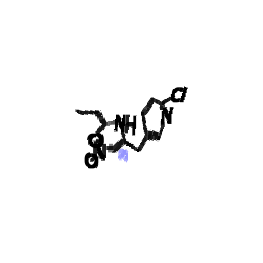 CCC(C)N/C(=C\[N+](=O)[O-])Cc1ccc(Cl)nc1